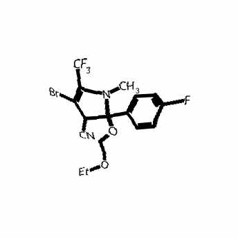 CCOCOC1(c2ccc(F)cc2)C(C#N)C(Br)=C(C(F)(F)F)N1C